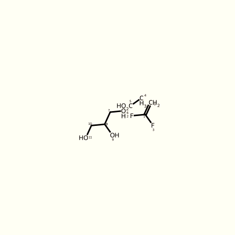 C=C(F)F.CC(=O)O.OCC(O)CO